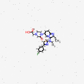 CCc1nc2ccc(N3CCN(CC(=O)O)CC3=O)cn2c1N(C)c1nc(-c2ccc(F)cc2)cs1